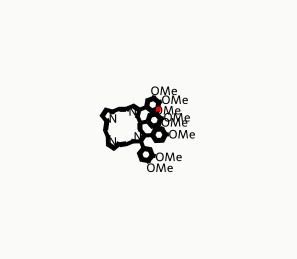 COc1ccc(C2=CC3=CC4=NC(=CC5=NC(=CC6=NC(=C(c7ccc(OC)c(OC)c7)C2=N3)C(c2ccc(OC)c(OC)c2)=C6c2ccc(OC)c(OC)c2)C=C5)C=C4)cc1OC